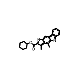 CC1=c2c(cc3c(c2C)N=c2ccccc2=3)N=C1C(=O)OC1CCCCC1